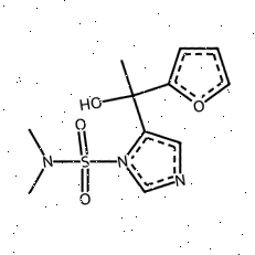 CN(C)S(=O)(=O)n1cncc1C(C)(O)c1ccco1